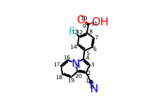 N#Cc1cc(-c2ccc(C(=O)O)c(F)c2)n2ccccc12